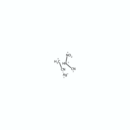 CC#N.N#CN[N+](=O)[O-].[Ag+]